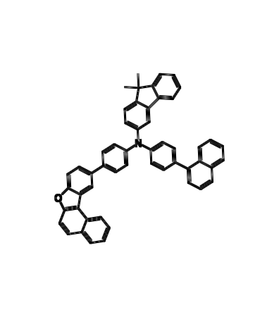 CC1(C)c2ccccc2-c2cc(N(c3ccc(-c4ccc5oc6ccc7ccccc7c6c5c4)cc3)c3ccc(-c4cccc5ccccc45)cc3)ccc21